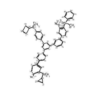 CB(c1ccc(-c2cc(-c3ccc(-c4ccc(C#N)c(B(C)C5CC5)c4)cc3)cc(-c3cccc(-c4ccc(S(C)(C)c5ccccc5)c(C#N)c4)c3)c2)cc1)C1CCC1